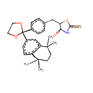 CC1(C)CCC(C)(C)c2cc(C3(c4ccc(CC5SC(=S)NC5=O)cc4)OCCO3)ccc21